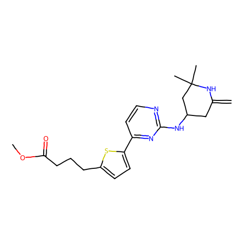 C=C1CC(Nc2nccc(-c3ccc(CCCC(=O)OC)s3)n2)CC(C)(C)N1